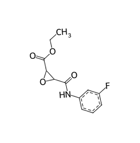 CCOC(=O)C1OC1C(=O)Nc1cccc(F)c1